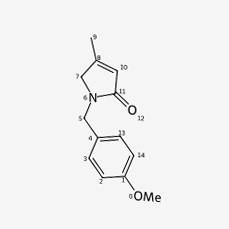 COc1ccc(CN2CC(C)=CC2=O)cc1